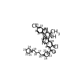 C[C@@H](Nc1ncnc2cc(C(=O)N3CC[C@@H](CCCCN4CCCC4)C3)c(Cl)cc12)c1nc2cc(Cl)ccc2[nH]1